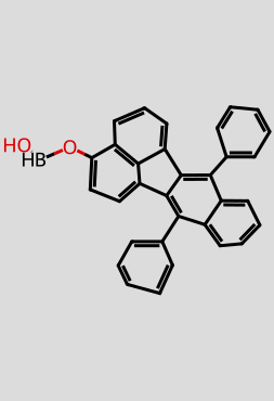 OBOc1ccc2c3c(cccc13)-c1c-2c(-c2ccccc2)c2ccccc2c1-c1ccccc1